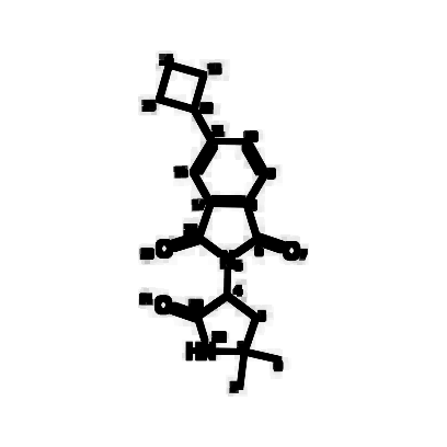 CC1(C)CC(N2C(=O)c3ccc(C4CCC4)cc3C2=O)C(=O)N1